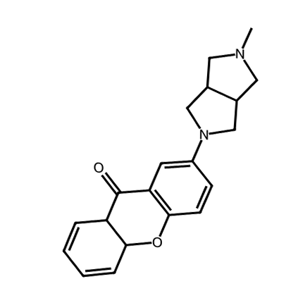 CN1CC2CN(c3ccc4c(c3)C(=O)C3C=CC=CC3O4)CC2C1